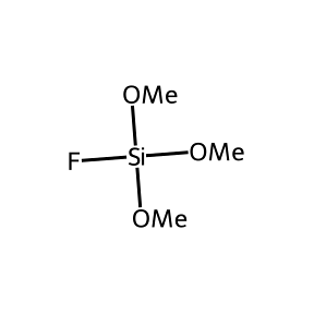 CO[Si](F)(OC)OC